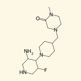 CN1CCN(CC2CCN(C3C(N)CNCC3F)CC2)CC1=O